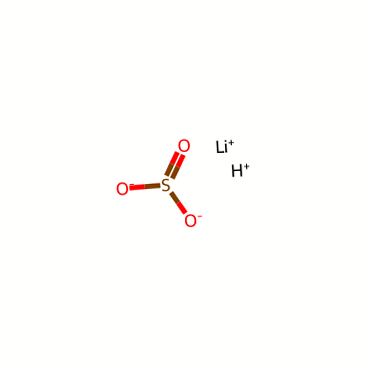 O=S([O-])[O-].[H+].[Li+]